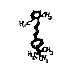 Cc1cccc(C)c1C=CC=Cc1ccc(C(C)(C)C)cc1